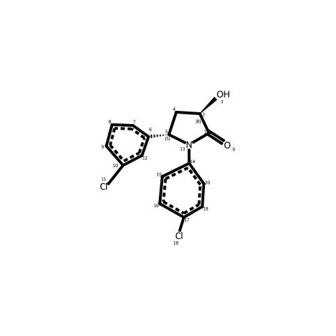 O=C1[C@H](O)C[C@@H](c2cccc(Cl)c2)N1c1ccc(Cl)cc1